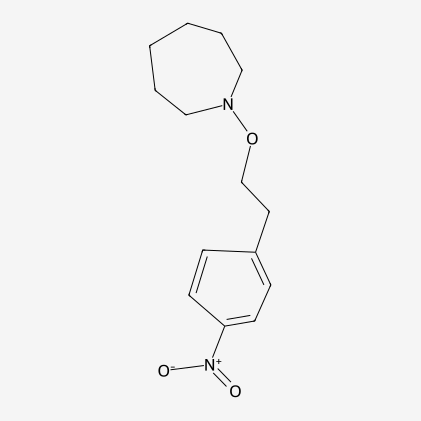 O=[N+]([O-])c1ccc(CCON2CCCCCC2)cc1